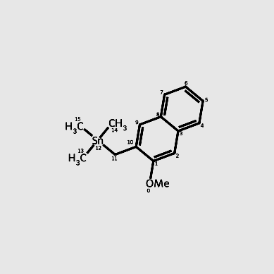 COc1cc2ccccc2cc1[CH2][Sn]([CH3])([CH3])[CH3]